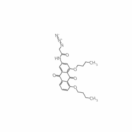 CCCCOc1cccc2c1C(=O)c1c(OCCCC)cc(NC(=O)CN=[N+]=[N-])cc1C2=O